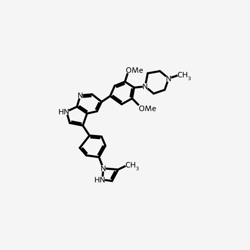 COc1cc(-c2cnc3[nH]cc(-c4ccc(-n5[nH]cc5C)cc4)c3c2)cc(OC)c1N1CCN(C)CC1